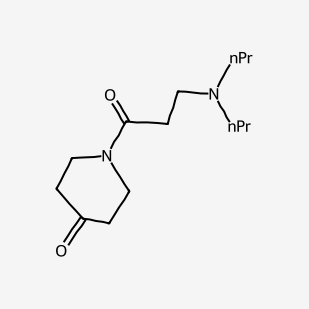 CCCN(CCC)CCC(=O)N1CCC(=O)CC1